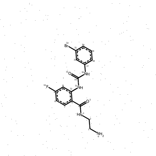 NCCNC(=O)c1ccc(F)cc1NC(=O)Nc1cccc(Br)c1